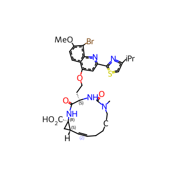 COc1ccc2c(OCC[C@@H]3NC(=O)N(C)CCCC/C=C\[C@@H]4C[C@@]4(C(=O)O)NC3=O)cc(-c3nc(C(C)C)cs3)nc2c1Br